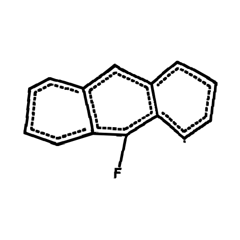 Fc1c2[c]cccc2cc2ccccc12